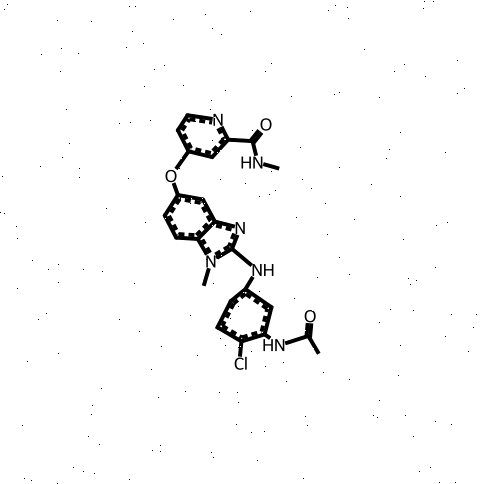 CNC(=O)c1cc(Oc2ccc3c(c2)nc(Nc2ccc(Cl)c(NC(C)=O)c2)n3C)ccn1